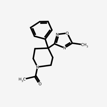 CC(=O)N1CCC(c2ccccc2)(c2noc(C)n2)CC1